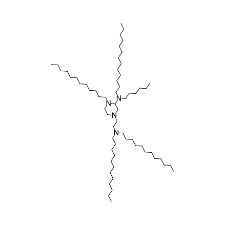 CCCCCCCCCCCCCN(CCCCCC)C1CN(CCN(CCCCCCCCCCCC)CCCCCCCCCCCC)CCN1CCCCCCCCCCCC